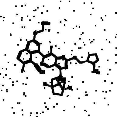 C#Cc1c(F)ccc2cc(OCOC)cc(-c3ncc4c(N5C[C@H]6CC[C@@H](C5)N6C(=O)O)nc(OC[C@@H]5CCCN5C)nc4c3F)c12